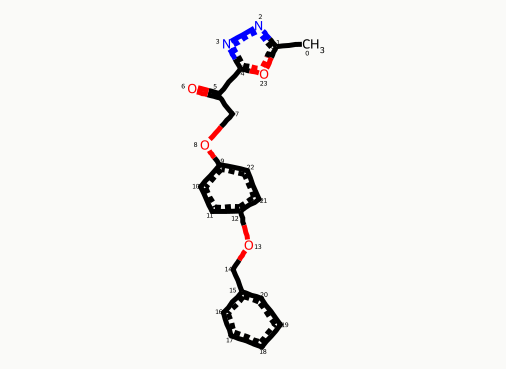 Cc1nnc(C(=O)COc2ccc(OCc3ccccc3)cc2)o1